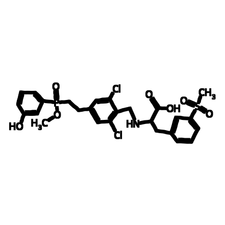 COP(=O)(CCc1cc(Cl)c(CNC(Cc2cccc(S(C)(=O)=O)c2)C(=O)O)c(Cl)c1)c1cccc(O)c1